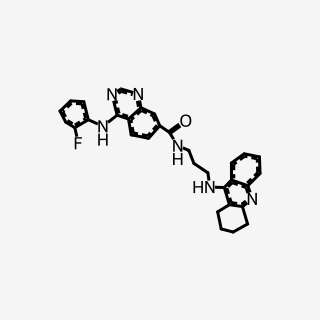 O=C(NCCCNc1c2c(nc3ccccc13)CCCC2)c1ccc2c(Nc3ccccc3F)ncnc2c1